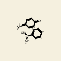 O=C1C=CC(=O)C=C1.O=NN(O)c1ccccc1.[Al]